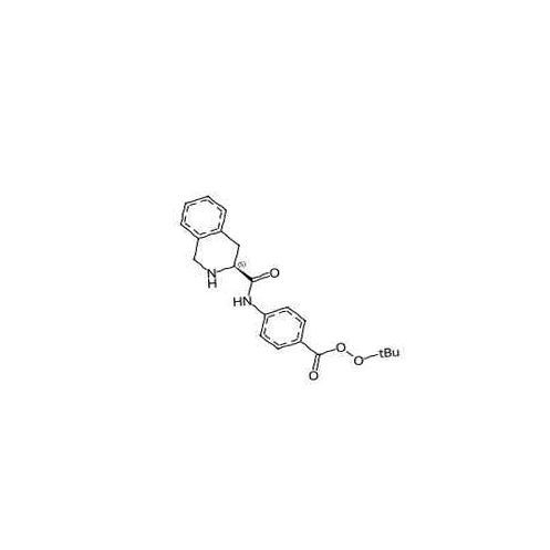 CC(C)(C)OOC(=O)c1ccc(NC(=O)[C@@H]2Cc3ccccc3CN2)cc1